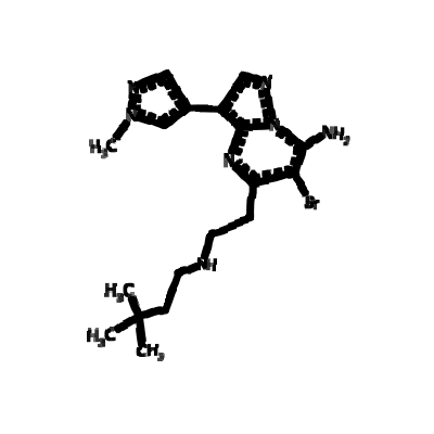 Cn1cc(-c2cnn3c(N)c(Br)c(CCNCCC(C)(C)C)nc23)cn1